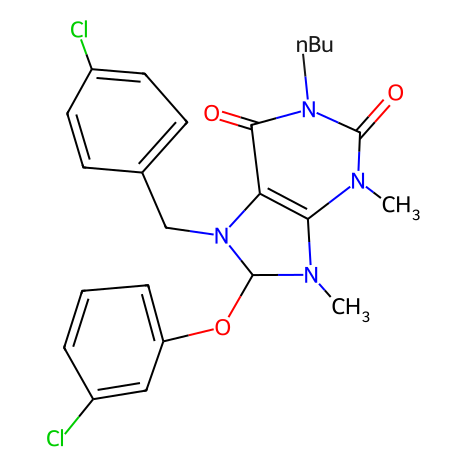 CCCCn1c(=O)c2c(n(C)c1=O)N(C)C(Oc1cccc(Cl)c1)N2Cc1ccc(Cl)cc1